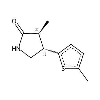 Cc1ccc([C@@H]2CNC(=O)[C@H]2C)s1